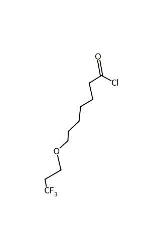 O=C(Cl)CCCCCCOCCC(F)(F)F